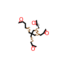 C(CC1CO1)SCC(CSCC1CO1)(CSCC1CO1)CSC[C@@H]1CO1